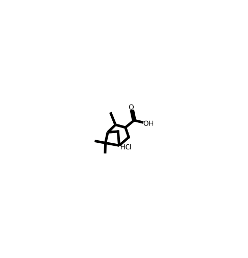 CC1C(C(=O)O)CC2CC1C2(C)C.Cl